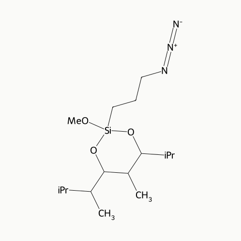 CO[Si]1(CCCN=[N+]=[N-])OC(C(C)C)C(C)C(C(C)C(C)C)O1